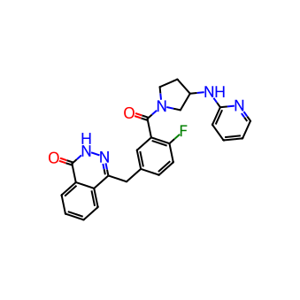 O=C(c1cc(Cc2n[nH]c(=O)c3ccccc23)ccc1F)N1CCC(Nc2ccccn2)C1